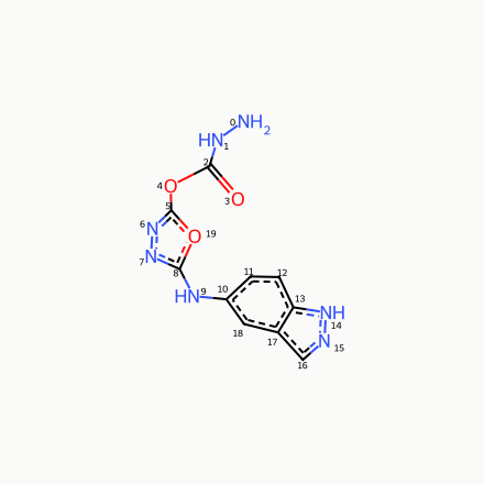 NNC(=O)Oc1nnc(Nc2ccc3[nH]ncc3c2)o1